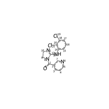 O=C(c1cccnc1)N1CCN=C1Nc1cccc(Cl)c1Cl